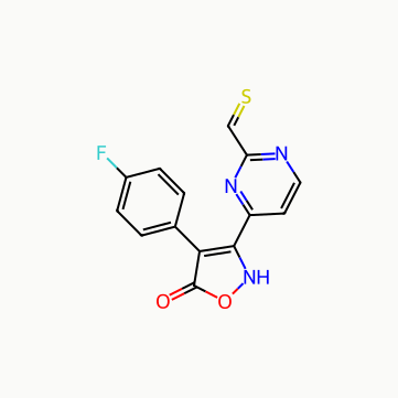 O=c1o[nH]c(-c2ccnc(C=S)n2)c1-c1ccc(F)cc1